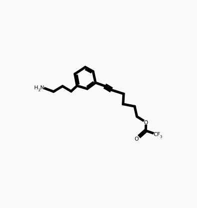 NCCCc1cccc(C#CCCCCOC(=O)C(F)(F)F)c1